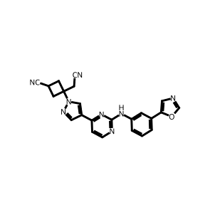 N#CCC1(n2cc(-c3ccnc(Nc4cccc(-c5cnco5)c4)n3)cn2)CC(C#N)C1